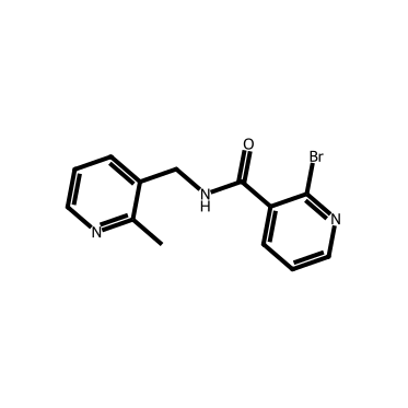 Cc1ncccc1CNC(=O)c1cccnc1Br